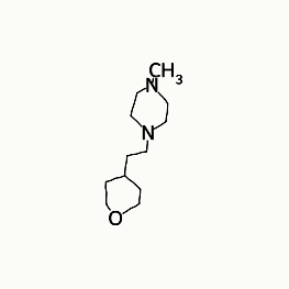 CN1CCN(CCC2CCOCC2)CC1